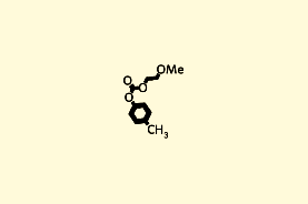 COCCOC(=O)Oc1ccc(C)cc1